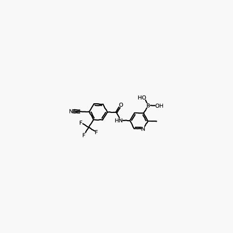 Cc1ncc(NC(=O)c2ccc(C#N)c(C(F)(F)F)c2)cc1B(O)O